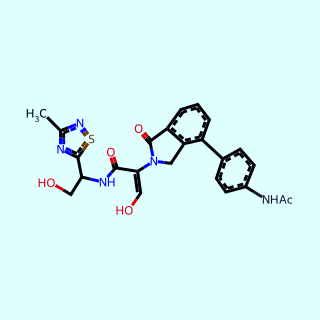 CC(=O)Nc1ccc(-c2cccc3c2CN(C(=CO)C(=O)NC(CO)c2nc(C)ns2)C3=O)cc1